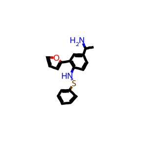 CC(N)c1ccc(NSc2ccccc2)c(-c2ccco2)c1